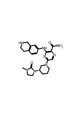 CN1CCN([C@@H]2CCCN(c3cnc(C(N)=O)c(Nc4ccc5c(c4)CNCC5)n3)C2)C1=O